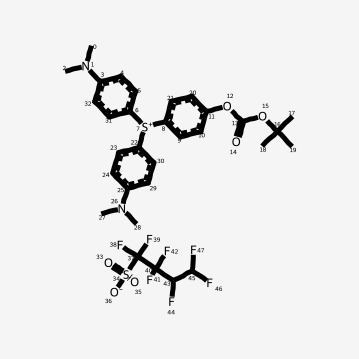 CN(C)c1ccc([S+](c2ccc(OC(=O)OC(C)(C)C)cc2)c2ccc(N(C)C)cc2)cc1.O=S(=O)([O-])C(F)(F)C(F)(F)C(F)C(F)F